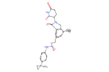 COc1cc(COC(=O)Nc2ccc(C3(C)CC3)cc2)cc2c1CN(C1CCC(=O)NC1=O)C2=O